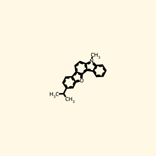 CC(C)c1ccc2c(c1)oc1c2ccc2c1c1ccccc1n2C